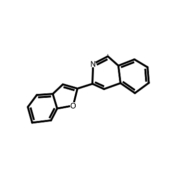 [c]1nc(-c2cc3ccccc3o2)cc2ccccc12